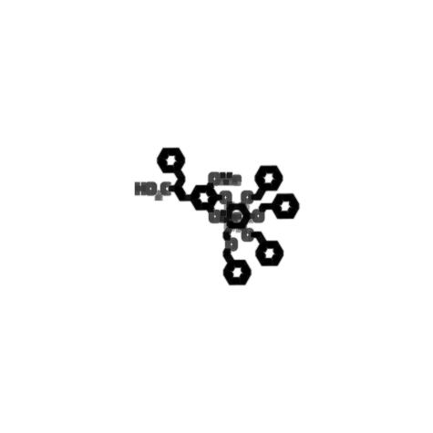 COc1cc(C=C(Cc2ccccc2)C(=O)O)cc(OC)c1O[C@@H]1O[C@H](COCc2ccccc2)[C@@H](OCc2ccccc2)[C@H](OCc2ccccc2)[C@H]1OCc1ccccc1